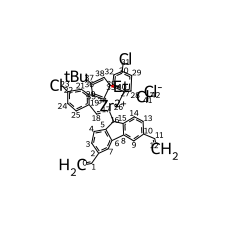 C=Cc1ccc2c(c1)-c1cc(C=C)ccc1[CH]2[Zr+2](=[CH]c1ccc(Cl)cc1)(=[CH]c1ccc(Cl)cc1)[C]1=CC(C(C)(C)C)=CC1CC.[Cl-].[Cl-]